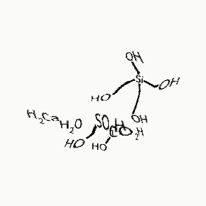 O.O=C(O)O.O=S(=O)(O)O.O[Si](O)(O)O.[CaH2]